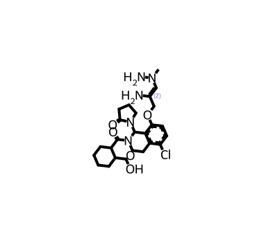 CN(N)/C=C(\N)COc1ccc(Cl)c2c1C(N1CCCC1=O)N(C(=O)C1CCCCC1C(=O)O)CC2